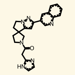 O=C(Cc1ncc[nH]1)N1CCC2(CCn3nc(-c4cnc5ccccc5c4)cc32)C1